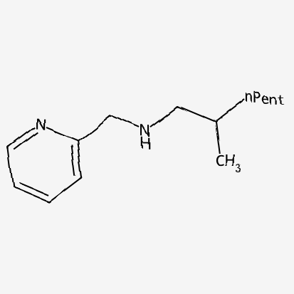 CCCCCC(C)CNCc1ccccn1